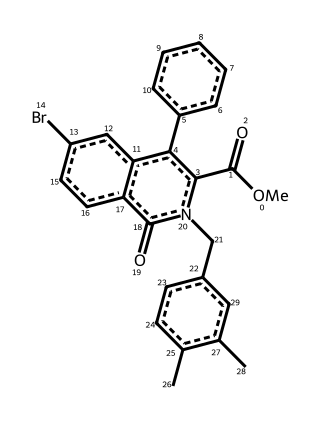 COC(=O)c1c(-c2ccccc2)c2cc(Br)ccc2c(=O)n1Cc1ccc(C)c(C)c1